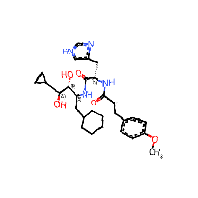 COc1ccc(C[CH]C(=O)N[C@@H](Cc2c[nH]cn2)C(=O)N[C@@H](CC2CCCCC2)[C@@H](O)[C@@H](O)C2CC2)cc1